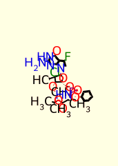 C#CC1(Cl)[C@@H](OC)[C@@H](COP(=O)(N[C@@H](C)C(=O)OC(C)C)Oc2ccccc2)O[C@H]1n1cc(F)c2c(=O)[nH]c(N)nc21